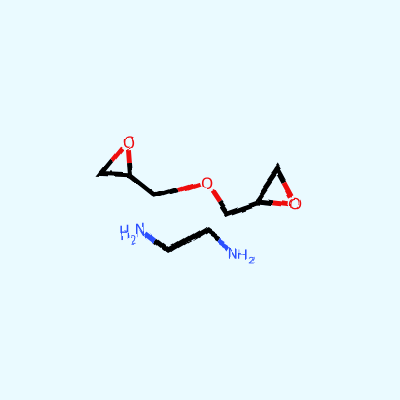 C(OCC1CO1)C1CO1.NCCN